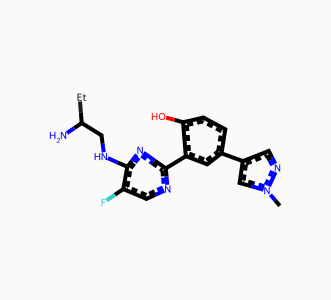 CCC(N)CNc1nc(-c2cc(-c3cnn(C)c3)ccc2O)ncc1F